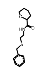 O=C(NCCSCc1ccccc1)C1CCCCO1